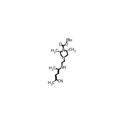 C/C(C#N)=C/C=C(\C)NCCN1C[C@@H](C)N(C(=O)OC(C)(C)C)[C@H](C)C1